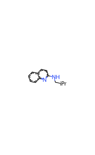 CC(C)CNc1ccc2ccccc2n1